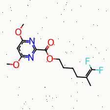 COc1cc(OC)nc(C(=O)OCCCCC(C)=C(F)F)n1